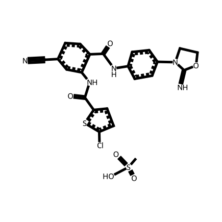 CS(=O)(=O)O.N#Cc1ccc(C(=O)Nc2ccc(N3CCOC3=N)cc2)c(NC(=O)c2ccc(Cl)s2)c1